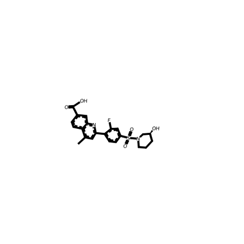 Cc1cc(-c2ccc(S(=O)(=O)N3CCC[C@H](O)C3)cc2F)nc2cc(C(=O)O)ccc12